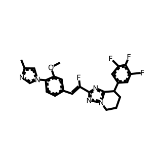 COc1cc(/C=C(\F)c2nc3n(n2)CCCC3c2cc(F)c(F)c(F)c2)ccc1-n1cnc(C)c1